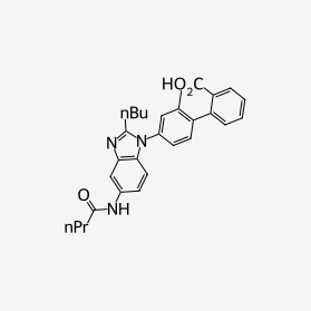 CCCCc1nc2cc(NC(=O)CCC)ccc2n1-c1ccc(-c2ccccc2C(=O)O)c(C)c1